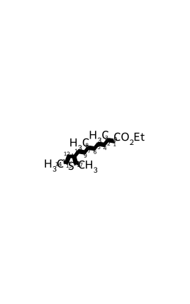 CCOC(=O)/C=C(C)/C=C/C=C(C)/C=C/c1cc(C)sc1C